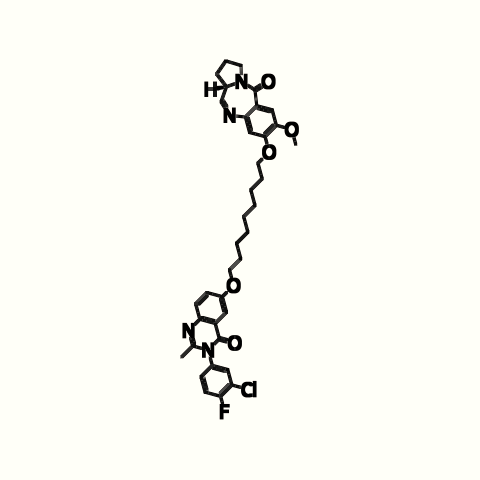 COc1cc2c(cc1OCCCCCCCCCOc1ccc3nc(C)n(-c4ccc(F)c(Cl)c4)c(=O)c3c1)N=C[C@@H]1CCCN1C2=O